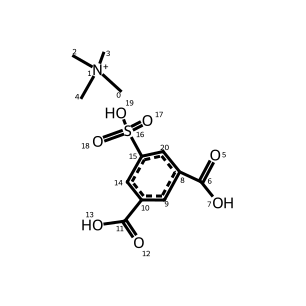 C[N+](C)(C)C.O=C(O)c1cc(C(=O)O)cc(S(=O)(=O)O)c1